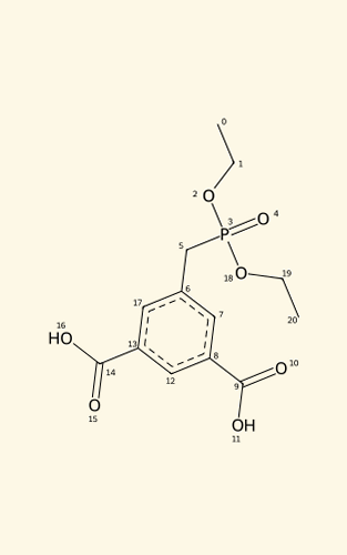 CCOP(=O)(Cc1cc(C(=O)O)cc(C(=O)O)c1)OCC